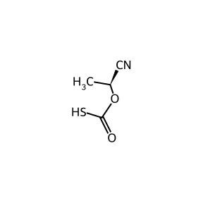 C[C@@H](C#N)OC(=O)S